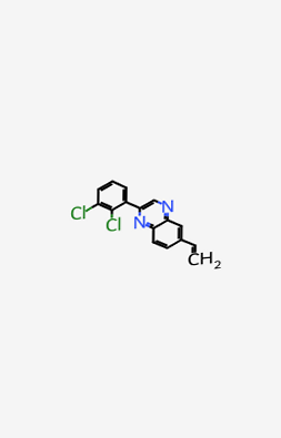 C=Cc1ccc2nc(-c3cccc(Cl)c3Cl)cnc2c1